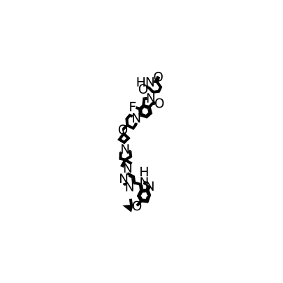 CC1(Oc2ccc3n[nH]c(-c4cc(N5CC6(CCN([C@H]7C[C@H](OC8CCN(c9ccc%10c(c9F)CN(C9CCC(=O)NC9=O)C%10=O)CC8)C7)CC6)C5)ncn4)c3c2)CC1